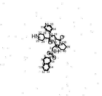 O=C(CNS(=O)(=O)c1ccc2ccccc2c1)NC(CN(C(=O)C1CCNCC1)c1ccncc1)C(=O)N1CCCCC1